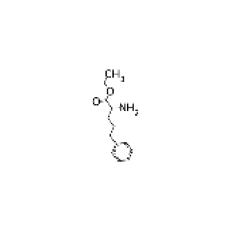 CCOC(=O)[C@H](N)CCCc1ccccc1